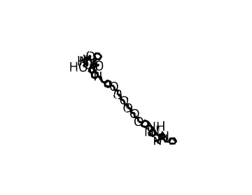 C[C@@H](C(=O)N[C@H](C(=O)N1CCC2CCN(CCc3ccc(OCCOCCOCCOCCOCCOC4CCC(Nc5nccc(-c6cnn(Cc7ccccc7)c6N(C)C)n5)CC4)cc3)CC21)C1CCCCC1)N(C)C(=O)O